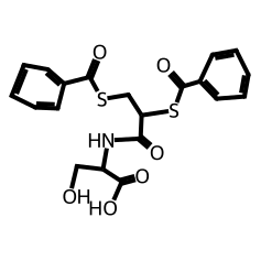 O=C(SCC(SC(=O)c1ccccc1)C(=O)NC(CO)C(=O)O)c1ccccc1